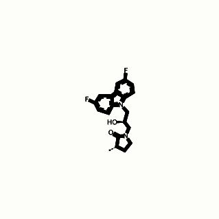 C[C@H]1CCN(C[C@@H](O)Cn2c3ccc(F)cc3c3cc(F)ccc32)C1=O